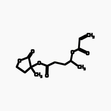 C=CC(=O)OC(C)CCC(=O)OC1(C)CCOC1=O